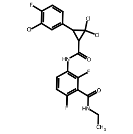 CCNC(=O)c1c(F)ccc(NC(=O)C2C(c3ccc(F)c(Cl)c3)C2(Cl)Cl)c1F